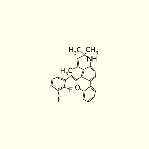 CC1=CC(C)(C)Nc2ccc3c(c21)C(=Cc1cccc(F)c1F)Oc1ccccc1-3